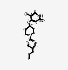 CCCc1cnc(N2CCC(Oc3cc(=O)[nH]cc3Cl)CC2)nc1